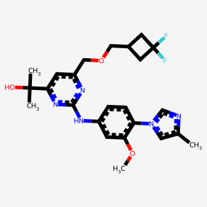 COc1cc(Nc2nc(COCC3CC(F)(F)C3)cc(C(C)(C)O)n2)ccc1-n1cnc(C)c1